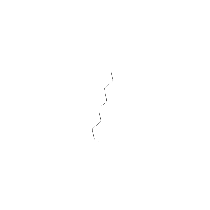 CCCCCOCCCO